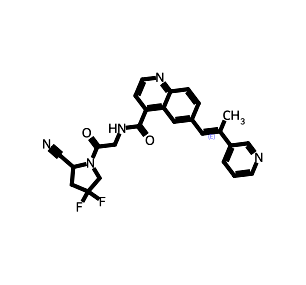 C/C(=C\c1ccc2nccc(C(=O)NCC(=O)N3CC(F)(F)CC3C#N)c2c1)c1cccnc1